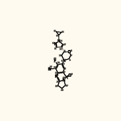 O=c1c2cc(N3CCO[C@@H](c4cnn(C5CC5)c4)C3)c(F)c(Br)c2nc2n1CCC2